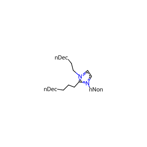 CCCCCCCCCCCCCc1n(CCCCCCCCC)cc[n+]1CCCCCCCCCCCC